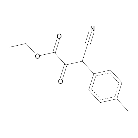 CCOC(=O)C(=O)C(C#N)c1ccc(C)cc1